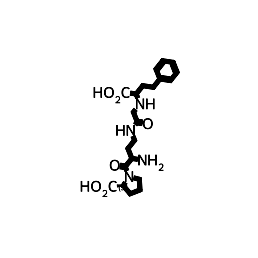 NC(CCNC(=O)CNC(CCc1ccccc1)C(=O)O)C(=O)N1CCC[C@H]1C(=O)O